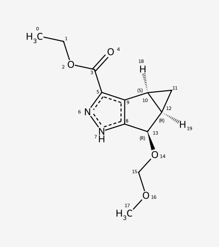 CCOC(=O)c1n[nH]c2c1[C@H]1C[C@H]1[C@H]2OCOC